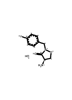 Cl.N[C@@H]1CON(Cc2ccc(F)cc2)C1=O